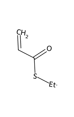 C=CC(=O)S[CH]C